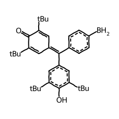 Bc1ccc(C(=C2C=C(C(C)(C)C)C(=O)C(C(C)(C)C)=C2)c2cc(C(C)(C)C)c(O)c(C(C)(C)C)c2)cc1